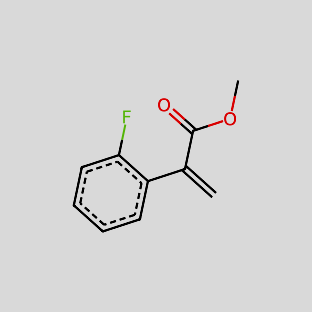 C=C(C(=O)OC)c1ccccc1F